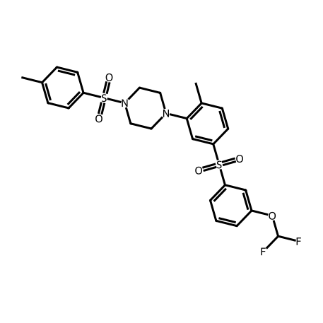 Cc1ccc(S(=O)(=O)N2CCN(c3cc(S(=O)(=O)c4cccc(OC(F)F)c4)ccc3C)CC2)cc1